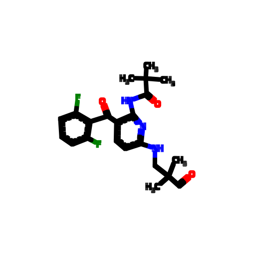 CC(C)(C=O)CNc1ccc(C(=O)c2c(F)cccc2F)c(NC(=O)C(C)(C)C)n1